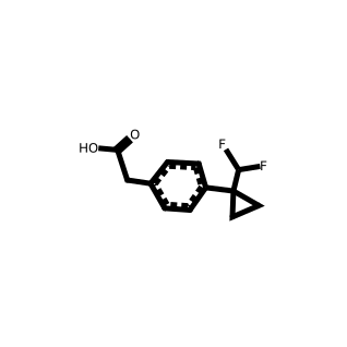 O=C(O)Cc1ccc(C2(C(F)F)CC2)cc1